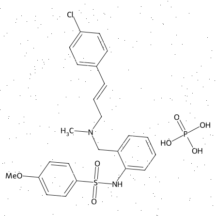 COc1ccc(S(=O)(=O)Nc2ccccc2CN(C)CC=Cc2ccc(Cl)cc2)cc1.O=P(O)(O)O